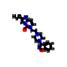 Cc1cn2c(=O)n(CCN3CCN(c4noc5ccccc45)CC3)ccc2n1